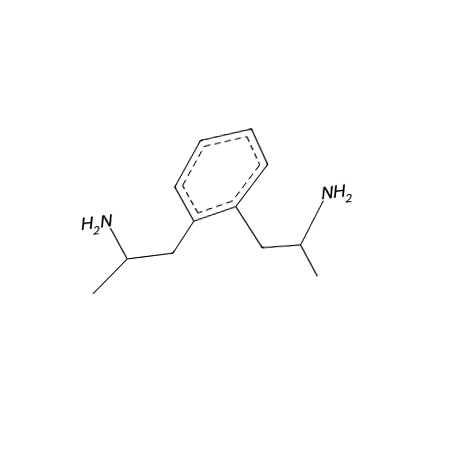 CC(N)Cc1ccccc1CC(C)N